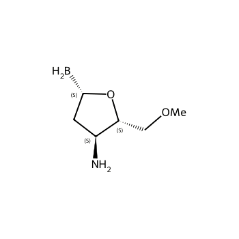 B[C@H]1C[C@H](N)[C@@H](COC)O1